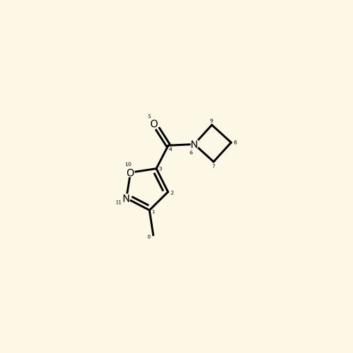 Cc1cc(C(=O)N2CCC2)on1